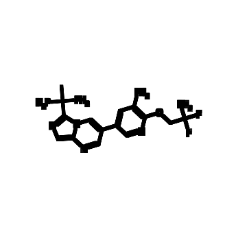 CC(P)(P)c1ncc2ncc(-c3cnc(OCC(F)(F)P)c(P)c3)cn12